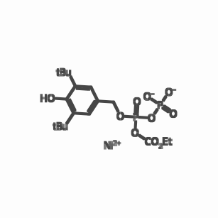 CCOC(=O)OP(=O)(OCc1cc(C(C)(C)C)c(O)c(C(C)(C)C)c1)OP(=O)([O-])[O-].[Ni+2]